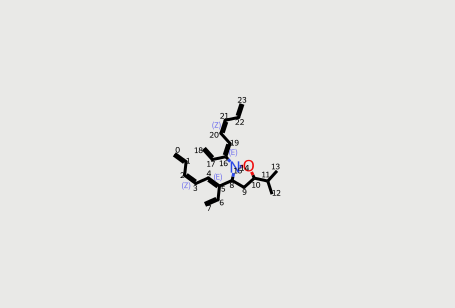 C=C/C=C\C=C(/C=C)C1CC(C(C)C)ON1/C(C=C)=C/C=C\C=C